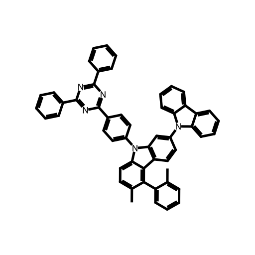 Cc1ccccc1-c1c(C)ccc2c1c1ccc(-n3c4ccccc4c4ccccc43)cc1n2-c1ccc(-c2nc(-c3ccccc3)nc(-c3ccccc3)n2)cc1